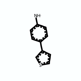 [NH]c1ccc(-c2ccsc2)cc1